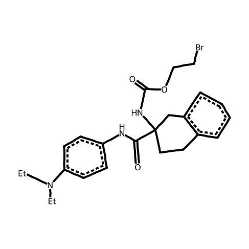 CCN(CC)c1ccc(NC(=O)C2(NC(=O)OCCBr)CCc3ccccc3C2)cc1